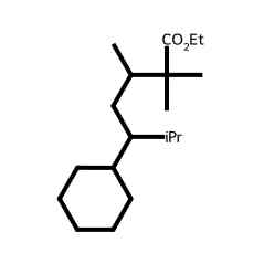 CCOC(=O)C(C)(C)C(C)CC(C(C)C)C1CCCCC1